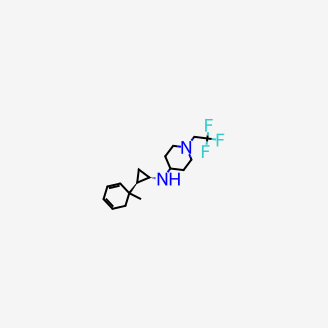 CC1([C@H]2C[C@@H]2NC2CCN(CC(F)(F)F)CC2)C=CC=CC1